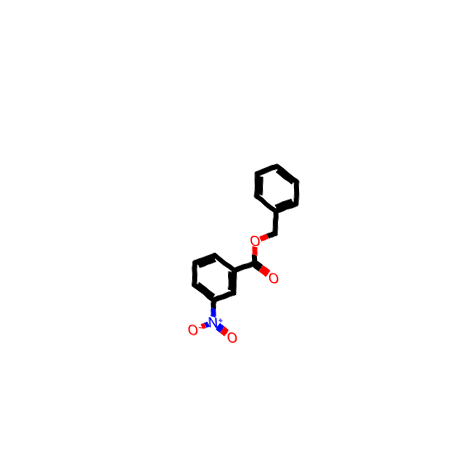 O=C(OCc1ccccc1)c1cccc([N+](=O)[O-])c1